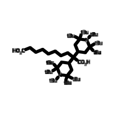 CC(C)(C)N1C(C(C)(C)C)(C(C)(C)C)CC(C(CCCCCCCC(=O)O)(C(=O)O)C2CC(C(C)(C)C)(C(C)(C)C)N(C(C)(C)C)C(C(C)(C)C)(C(C)(C)C)C2)CC1(C(C)(C)C)C(C)(C)C